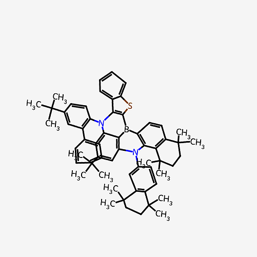 CC(C)(C)c1ccc(N2c3cc(C(C)(C)C)cc4c3B(c3ccc5c(c3N4c3ccc4c(c3)C(C)(C)CCC4(C)C)C(C)(C)CCC5(C)C)c3sc4ccccc4c32)c(-c2ccccc2)c1